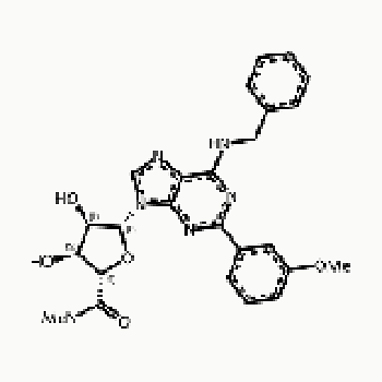 CNC(=O)[C@H]1O[C@@H](n2cnc3c(NCc4ccccc4)nc(-c4cccc(OC)c4)nc32)[C@H](O)[C@@H]1O